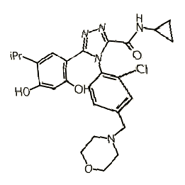 CC(C)c1cc(-c2nnc(C(=O)NC3CC3)n2-c2ccc(CN3CCOCC3)cc2Cl)c(O)cc1O